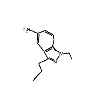 CCCc1nn(CC)c2ccc(N)cc12